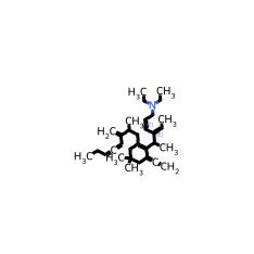 C=C=C1CC(C)(C)CC(CC(C)C(=C)C=C=CCC)=C1C(C)C(/C=C\CN(CC)CC)=C/C